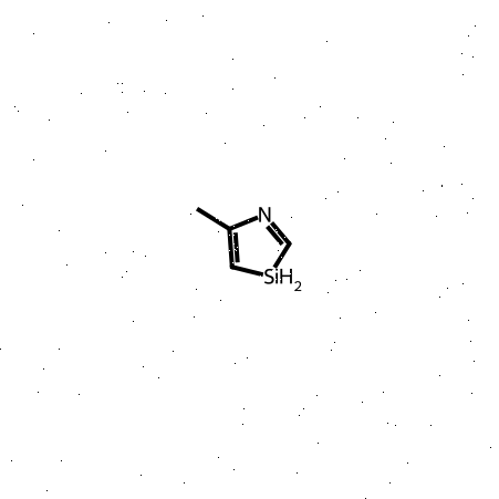 CC1=C[SiH2]C=N1